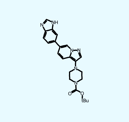 CC(C)(C)OC(=O)N1CCN(c2cnn3cc(-c4ccc5nc[nH]c5c4)ccc23)CC1